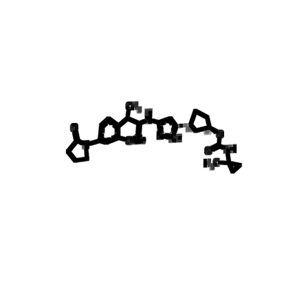 COc1cc(N2CCCC2=O)ccc1C(C)C(=O)Nc1cc([C@@H]2CC[C@@H](OC(=O)NC3(C)CC3)C2)[nH]n1